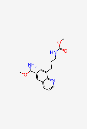 COC(=O)NCCCc1cc([C@H](N)OC)cc2cccnc12